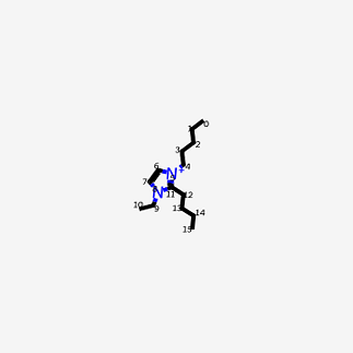 CCCCC[n+]1ccn(CC)c1CCCC